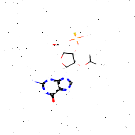 COC(C)O[C@@H]1[C@H](OP(O)(O)=S)[C@@H](CO)O[C@H]1n1cnc2c(=O)[nH]c(N)nc21